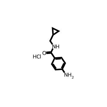 Cl.Nc1ccc(C(=O)NCC2CC2)cc1